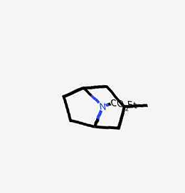 CCOC(=O)N1C2CCC1CC(C)C2